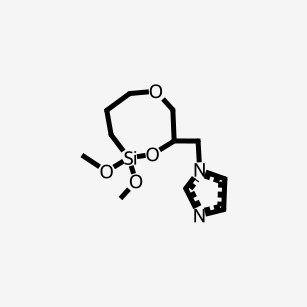 CO[Si]1(OC)CCCOCC(Cn2ccnc2)O1